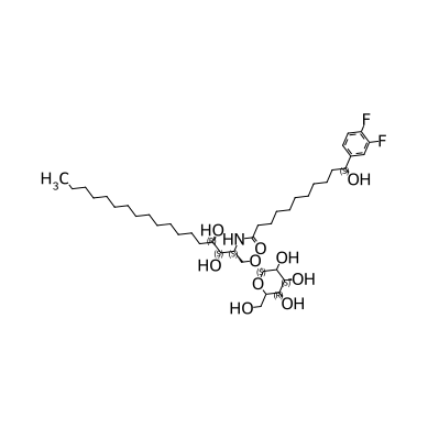 CCCCCCCCCCCCCC[C@@H](O)[C@@H](O)[C@H](CO[C@H]1OC(CO)[C@H](O)[C@H](O)C1O)NC(=O)CCCCCCCCC[C@H](O)c1ccc(F)c(F)c1